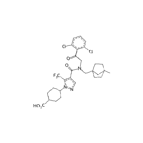 CC12CCC(CN(CC(=O)c3c(Cl)cccc3Cl)C(=O)c3cnn(C4CCC(C(=O)O)CC4)c3C(F)(F)F)(CC1)C2